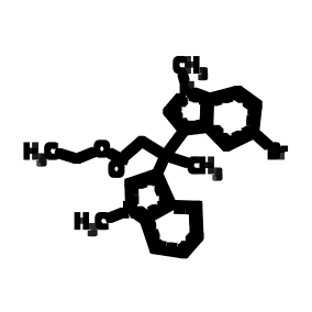 CCOC(=O)CC(C)(c1cn(C)c2ccccc12)c1cn(C)c2ccc(Br)cc12